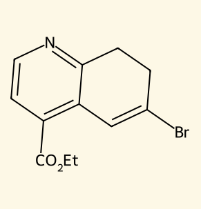 CCOC(=O)c1ccnc2c1C=C(Br)CC2